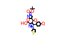 COc1ccc2c(c1)OC(c1cnn(C(=O)OC(C)(C)C)c1)c1c(C(=O)O)nn(-c3ccsc3)c1-2